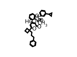 C[N+](c1ccccc1)(c1c(O)cc(C2(CCCc3ccccc3)CCC2)oc1=O)S(=O)(=O)c1cccc(C2CC2)c1